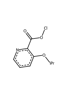 CC(C)Oc1cccnc1C(=O)OCl